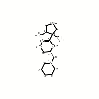 C[C@H]1CNC[C@]1(C)C1=NOC[C@@H](CN2CCCCC2)O1